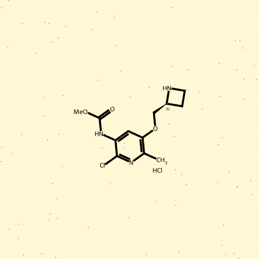 COC(=O)Nc1cc(OC[C@@H]2CCN2)c(C)nc1Cl.Cl